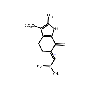 CCOC(=O)c1c(C)[nH]c2c1CC/C(=C\N(C)C)C2=O